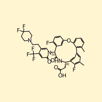 Cc1cc2cc(c1F)[C@@H](CC(=O)O)NC(=O)[C@@H](n1cc(CCN3CCC(F)(F)CC3)c(C(F)(F)F)cc1=O)c1cc(ccc1F)Oc1cccc(C)c1-2